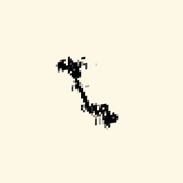 CCCC(c1ccc(CCC(=O)NCCCCCCC(=O)N2CCN(C(=O)c3cc(Cc4n[nH]c(=O)c5ccccc45)ccc3F)CC2)cc1)N(C)C(=O)/C(C#N)=C/c1nccs1